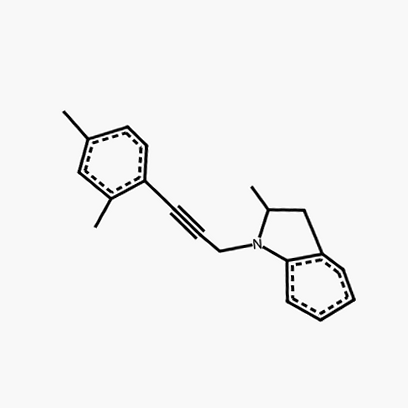 Cc1ccc(C#CCN2c3ccccc3CC2C)c(C)c1